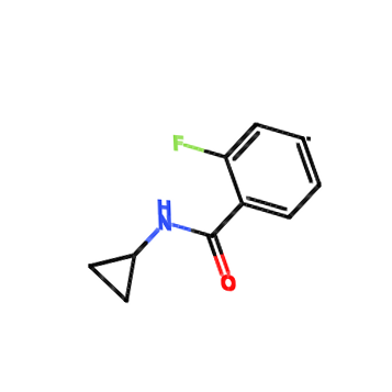 O=C(NC1CC1)c1cc[c]cc1F